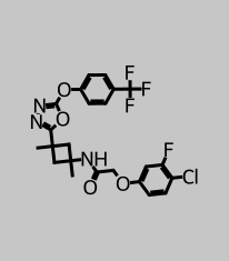 CC1(NC(=O)COc2ccc(Cl)c(F)c2)CC(C)(c2nnc(Oc3ccc(C(F)(F)F)cc3)o2)C1